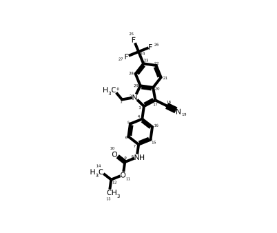 CCn1c(-c2ccc(NC(=O)OC(C)C)cc2)c(C#N)c2ccc(C(F)(F)F)cc21